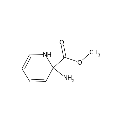 COC(=O)C1(N)C=CC=CN1